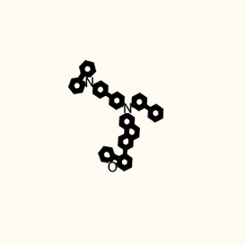 c1ccc(-c2cccc(N(c3ccc(-c4ccc(-n5c6ccccc6c6ccccc65)cc4)cc3)c3ccc4c(ccc5cc(-c6cccc7oc8ccccc8c67)ccc54)c3)c2)cc1